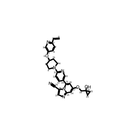 C=Cc1ccc(OC2CCN(c3ccc(-c4cc(OCC5(O)CC5)cc5ncc(C#N)n45)cn3)CC2)cn1